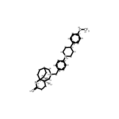 CC(C)[C@H]1CC2CCC3[C@H](CCC(=O)N31)CN(Cc1ccc(N3CCC(c4ccc(OC(F)(F)F)cc4)CC3)cc1)C2